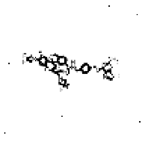 Nc1nc(OCc2ccc(CNC(=O)c3ccc4c(c3)C3(OC4)c4cc(F)c(N5CC(F)(F)C5)cc4Oc4cc(N5CC(F)(F)C5)c(F)cc43)cc2)c2nc[nH]c2n1